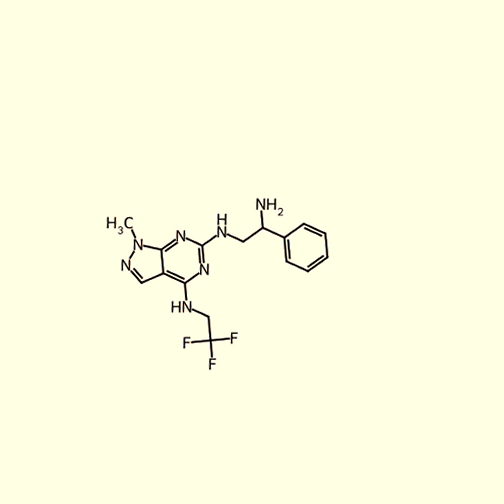 Cn1ncc2c(NCC(F)(F)F)nc(NCC(N)c3ccccc3)nc21